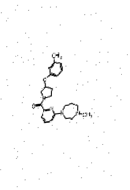 Cc1cccc(OC2CCN(C(=O)c3cccc(N4CCCN(C)CC4)n3)C2)c1